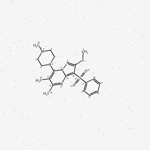 CSc1nn2c(N3CCN(C)CC3)c(C)c(C)nc2c1S(=O)(=O)c1ccccc1